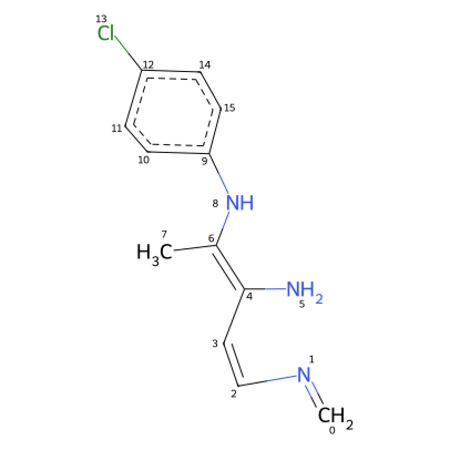 C=N/C=C\C(N)=C(/C)Nc1ccc(Cl)cc1